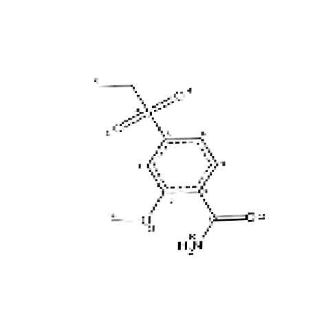 CCS(=O)(=O)c1ccc(C(N)=O)c(OC)c1